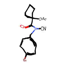 CC(=O)OC1(C(=O)N(C#N)c2ccc(Br)cc2)CCC1